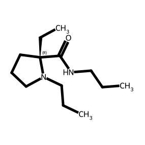 CCCNC(=O)[C@@]1(CC)CCCN1CCC